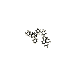 C1=Cc2ccc3cc(-c4cccc(-c5cccc(-c6nc(-c7ccccc7)nc(-c7ccccc7)n6)c5)c4)cc4c3c2C(=CC4)C1